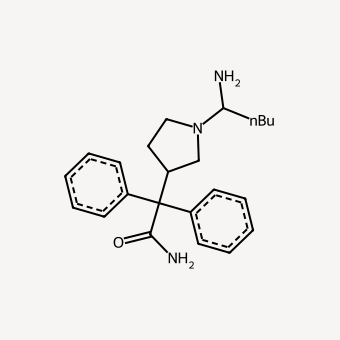 CCCCC(N)N1CCC(C(C(N)=O)(c2ccccc2)c2ccccc2)C1